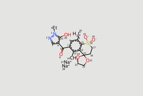 CCn1ncc(C(=O)c2cc(C)c3c(c2C)C2(CCS3([O-])[O-])OCCO2)c1O.[Na+].[Na+]